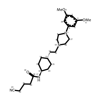 COc1cc(OC)cc(N2CCN(CC[C@H]3CC[C@H](NC(=O)CCCC#N)CC3)CC2)c1